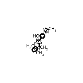 C=C(c1nnc(-c2ccc(-n3ncc(C)n3)cc2O)s1)[C@H]1C[C@]2(C)CC[C@@](C)(N2)[C@@H]1F